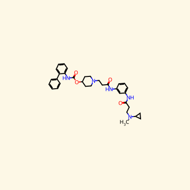 CN(CCC(=O)Nc1cccc(NC(=O)CCN2CCC(OC(=O)Nc3ccccc3-c3ccccc3)CC2)c1)C1CC1